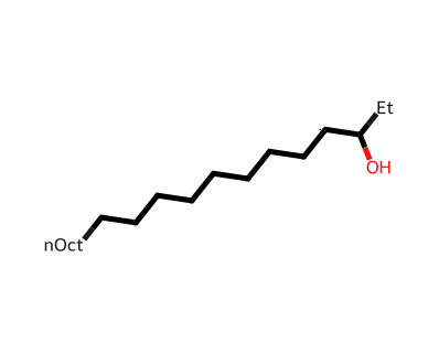 CCCCCCCCCCCCCCCC[CH]C(O)CC